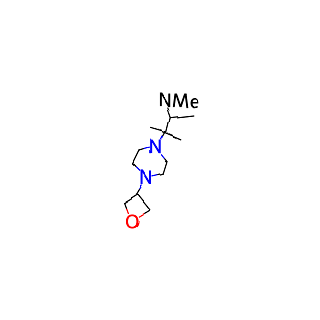 CNC(C)C(C)(C)N1CCN(C2COC2)CC1